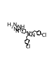 CN1CC(Cc2ccc(Cl)cc2)N(C2CCN(c3nnc(N)[nH]3)CC2)CC1Cc1ccc(Cl)cc1